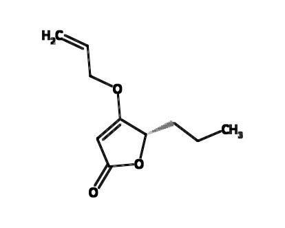 C=CCOC1=CC(=O)O[C@H]1CCC